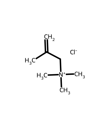 C=C(C)C[N+](C)(C)C.[Cl-]